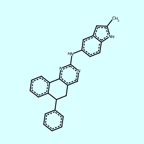 Cc1cc2cc(Nc3ncc4c(n3)-c3ccccc3C(c3ccccc3)C4)ccc2[nH]1